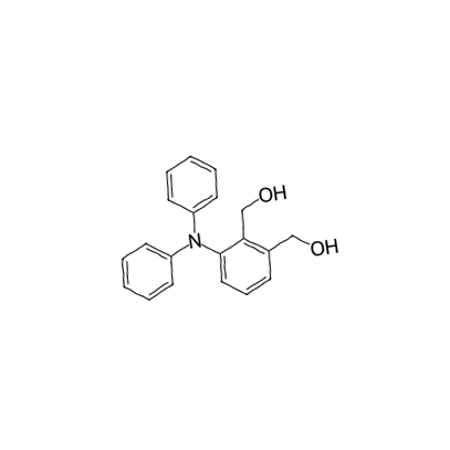 OCc1cccc(N(c2ccccc2)c2ccccc2)c1CO